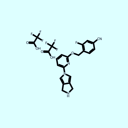 N#Cc1ccc(COc2cccc(-n3cc4c(c3)CNC4)n2)c(F)c1.O=C(O)C(F)(F)F.O=C(O)C(F)(F)F